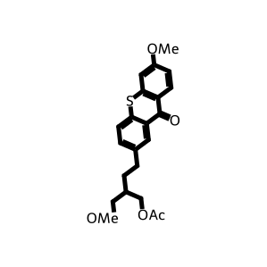 COCC(CCc1ccc2sc3cc(OC)ccc3c(=O)c2c1)COC(C)=O